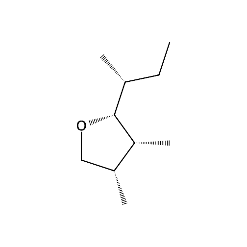 CC[C@@H](C)[C@H]1OC[C@@H](C)[C@H]1C